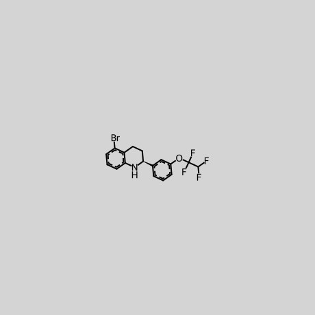 FC(F)C(F)(F)Oc1cccc([C@@H]2CCc3c(Br)cccc3N2)c1